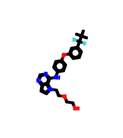 CC(C)(C)C(F)(F)c1cccc(Oc2ccc(Nc3ncnc4ccn(CCOCCO)c34)cc2)c1